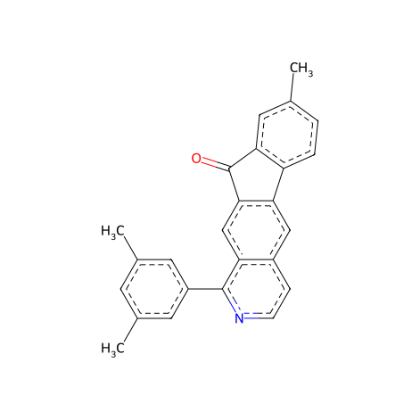 Cc1cc(C)cc(-c2nccc3cc4c(cc23)C(=O)c2cc(C)ccc2-4)c1